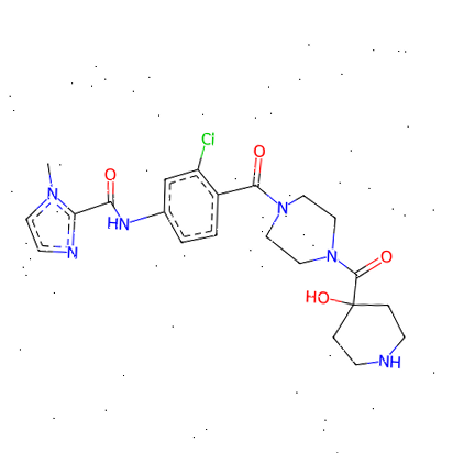 Cn1ccnc1C(=O)Nc1ccc(C(=O)N2CCN(C(=O)C3(O)CCNCC3)CC2)c(Cl)c1